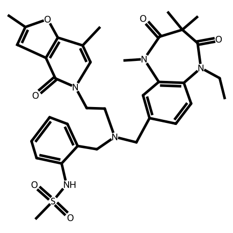 CCN1C(=O)C(C)(C)C(=O)N(C)c2cc(CN(CCn3cc(C)c4oc(C)cc4c3=O)Cc3ccccc3NS(C)(=O)=O)ccc21